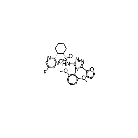 COc1cccc(OC)c1-n1c(NS(=O)(=O)[C@H]2CCCC[C@H]2c2ncc(F)cn2)nnc1-c1ccco1